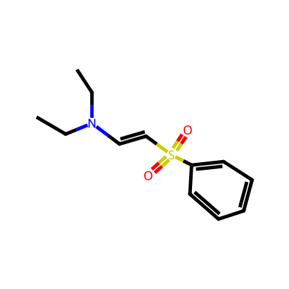 CCN(C=CS(=O)(=O)c1ccccc1)CC